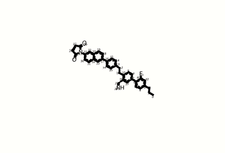 CCCc1ccc(-c2ccc(CCc3ccc(-c4ccc5cc(N6C(=O)C=CC6=O)ccc5c4)cc3)c(C=N)c2)c(F)c1